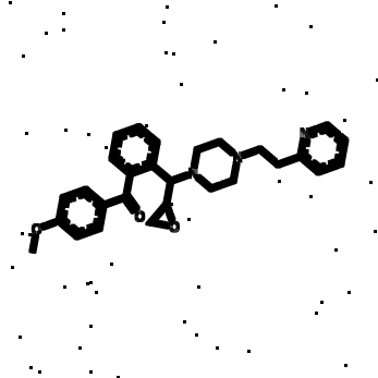 COc1ccc(C(=O)c2ccccc2C(C2CO2)N2CCN(CCc3ccccn3)CC2)cc1